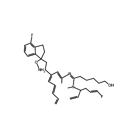 C=C/C=C/C=C(\C=C(C)\N=C(\CCCCCO)N(C)C(C=C)C/C=C/F)CCC1(ON)CCc2c(F)cccc21